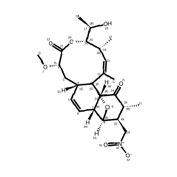 CO[C@H]1C[C@H]2C=C[C@H]3[C@H]4O[C@]2(C(C)=C[C@@H](C)[C@@H]([C@@H](C)O)OC1=O)[C@@H]3C(=O)[C@H](C)[C@H]4C[N+](=O)[O-]